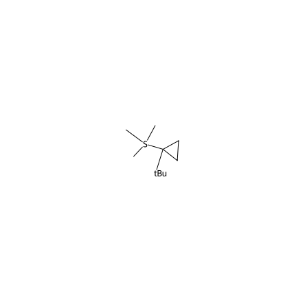 CC(C)(C)C1(S(C)(C)C)CC1